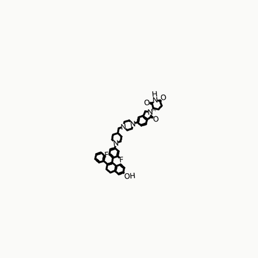 O=C1CC[C@H](N2Cc3cc(N4CCN(CC5CCN(c6cc(F)c(C7=C(c8ccccc8)CCc8cc(O)ccc87)c(F)c6)CC5)CC4)ccc3C2=O)C(=O)N1